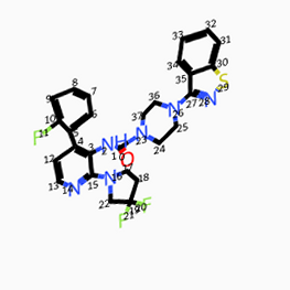 O=C(Nc1c(-c2ccccc2F)ccnc1N1CCC(F)(F)C1)N1CCN(c2nsc3ccccc23)CC1